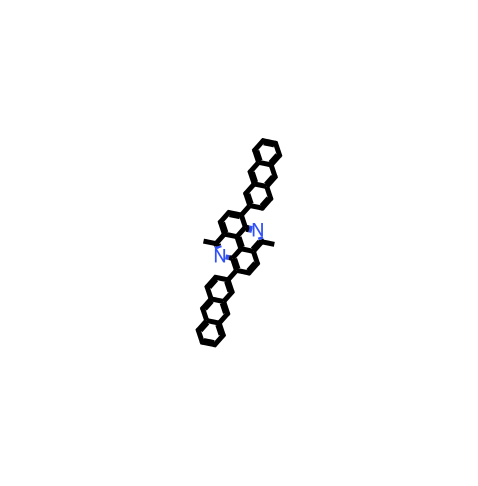 Cc1nc2c(-c3ccc4cc5ccccc5cc4c3)ccc3c(C)nc4c(-c5ccc6cc7ccccc7cc6c5)ccc1c4c32